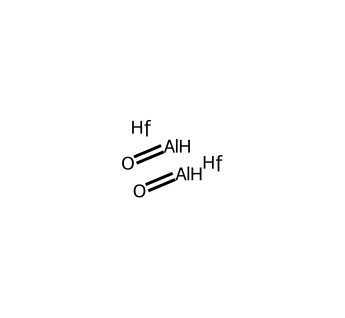 [Hf].[Hf].[O]=[AlH].[O]=[AlH]